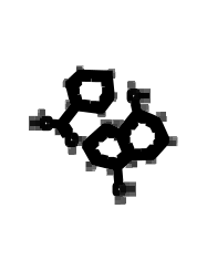 O=C(O)c1ccccc1.Oc1cccc2c(O)cccc12